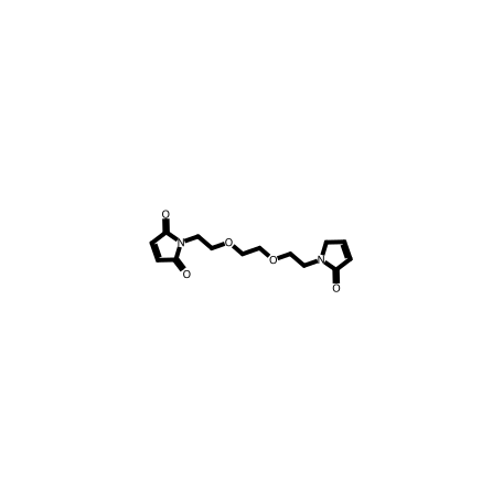 O=C1C=CCN1CCOCCOCCN1C(=O)C=CC1=O